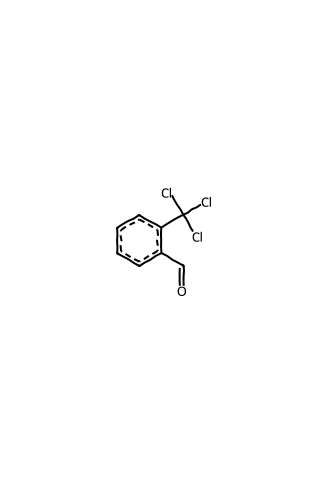 O=Cc1ccccc1C(Cl)(Cl)Cl